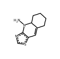 NN1c2ncsc2C=C2CCCCC21